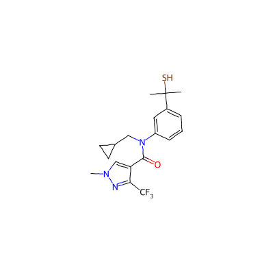 Cn1cc(C(=O)N(CC2CC2)c2cccc(C(C)(C)S)c2)c(C(F)(F)F)n1